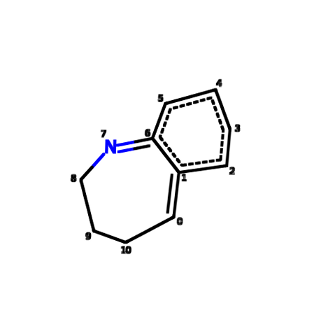 C1=c2ccccc2=NCCC1